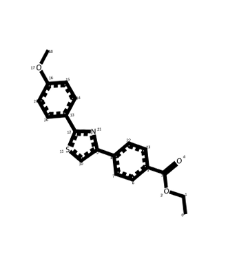 CCOC(=O)c1ccc(-c2csc(-c3ccc(OC)cc3)n2)cc1